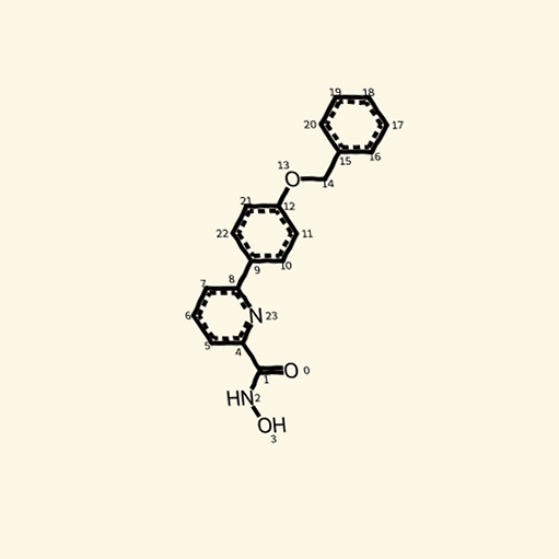 O=C(NO)c1cccc(-c2ccc(OCc3ccccc3)cc2)n1